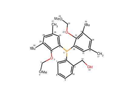 COCOc1c(P(c2ccccc2CO)c2cc(C)cc(C(C)(C)C)c2OCOC)cc(C)cc1C(C)(C)C